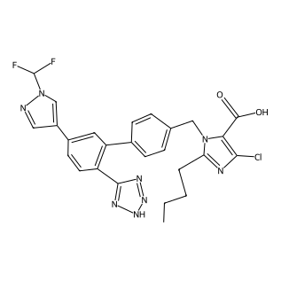 CCCCc1nc(Cl)c(C(=O)O)n1Cc1ccc(-c2cc(-c3cnn(C(F)F)c3)ccc2-c2nn[nH]n2)cc1